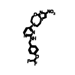 O=[N+]([O-])c1cn2c(n1)OCCN(c1ccnc(NCc3ccc(OC(F)F)cc3)n1)CC2